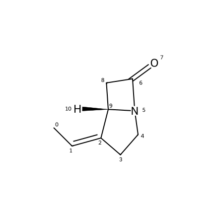 C/C=C1/CCN2C(=O)C[C@@H]12